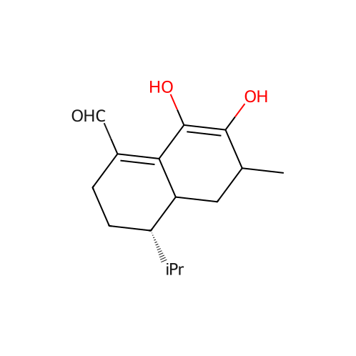 CC1CC2C(=C(C=O)CC[C@H]2C(C)C)C(O)=C1O